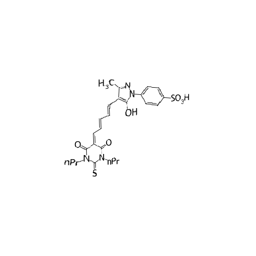 CCCN1C(=O)C(=CC=CC=Cc2c(C)nn(-c3ccc(S(=O)(=O)O)cc3)c2O)C(=O)N(CCC)C1=S